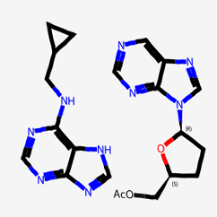 CC(=O)OC[C@@H]1CC[C@H](n2cnc3cncnc32)O1.c1nc(NCC2CC2)c2[nH]cnc2n1